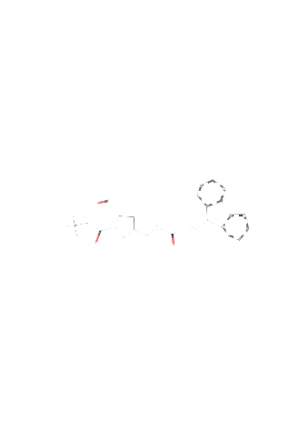 CC(C)(C)OC(=O)N1CC(CNC(=O)OCC2c3ccccc3-c3ccccc32)C[C@H]1C(=O)O